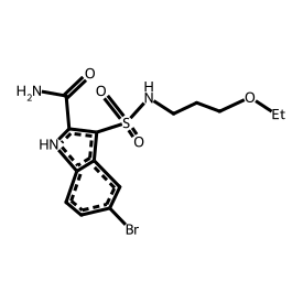 CCOCCCNS(=O)(=O)c1c(C(N)=O)[nH]c2ccc(Br)cc12